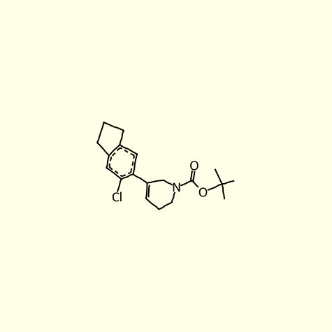 CC(C)(C)OC(=O)N1CCC=C(c2cc3c(cc2Cl)CCC3)C1